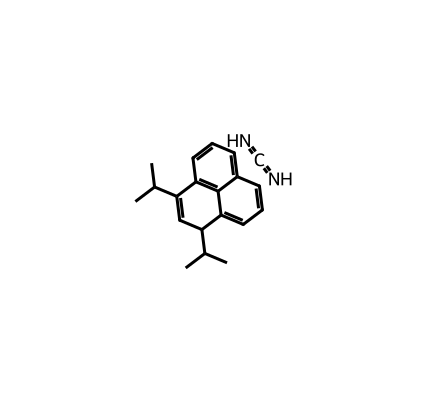 CC(C)C1=CC(C(C)C)c2cccc3cccc1c23.N=C=N